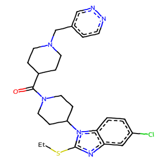 CCSc1nc2cc(Cl)ccc2n1C1CCN(C(=O)C2CCN(Cc3ccnnc3)CC2)CC1